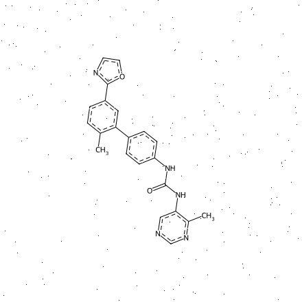 Cc1ccc(-c2ncco2)cc1-c1ccc(NC(=O)Nc2cncnc2C)cc1